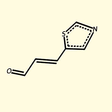 O=CC=Cc1cncs1